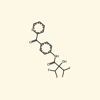 O=C(c1ccc(NC(=O)C(O)(C(F)F)C(F)F)cc1)c1ccccn1